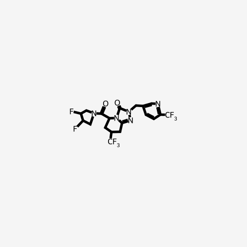 O=C(C1CC(C(F)(F)F)Cc2nn(Cc3ccc(C(F)(F)F)nc3)c(=O)n21)N1CC(F)C(F)C1